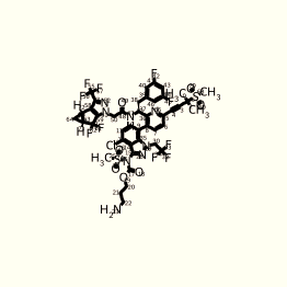 CC(C)(C#Cc1ccc(-c2ccc(Cl)c3c(N(C(=O)OCCCN)S(C)(=O)=O)nn(CC(F)(F)F)c23)c([C@H](Cc2cc(F)cc(F)c2)NC(=O)Cn2nc(C(F)(F)F)c3c2C(F)(F)[C@@H]2C[C@H]32)n1)S(C)(=O)=O